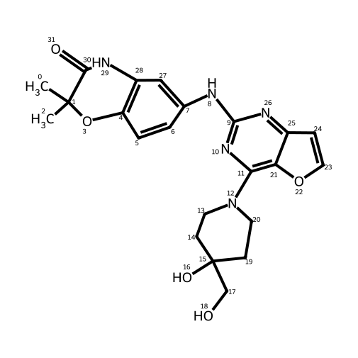 CC1(C)Oc2ccc(Nc3nc(N4CCC(O)(CO)CC4)c4occc4n3)cc2NC1=O